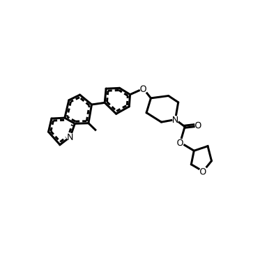 Cc1c(-c2ccc(OC3CCN(C(=O)OC4CCOC4)CC3)cc2)ccc2cccnc12